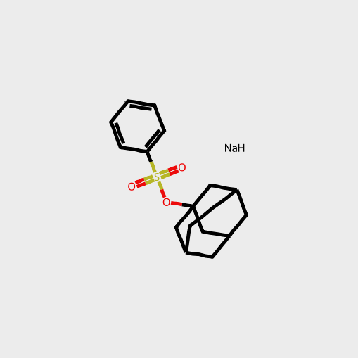 O=S(=O)(OC12CC3CC(CC(C3)C1)C2)c1cc[c]cc1.[NaH]